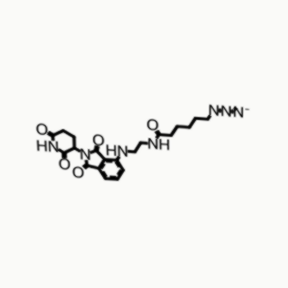 [N-]=[N+]=NCCCCCC(=O)NCCNc1cccc2c1C(=O)N(C1CCC(=O)NC1=O)C2=O